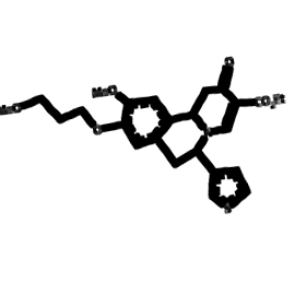 CCOC(=O)C1=CN2C(c3ccsc3)Cc3cc(OCCCOC)c(OC)cc3C2CC1=O